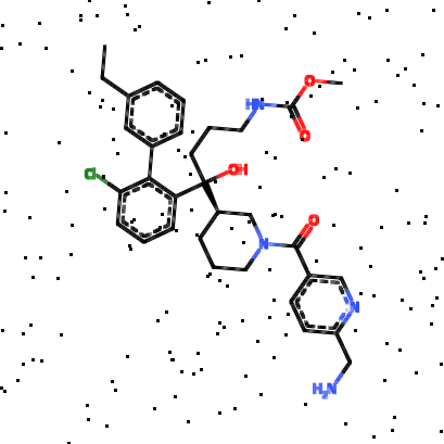 CCc1cccc(-c2c(Cl)cccc2C(O)(CCCNC(=O)OC)[C@@H]2CCCN(C(=O)c3ccc(CN)nc3)C2)c1